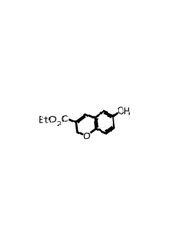 CCOC(=O)C1=Cc2cc(O)ccc2OC1